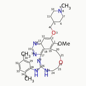 COc1c(OCC2CCN(C)CC2)cc2ncnc3c2c1CCOCCNC(Nc1cc(C)ccc1C)=N3